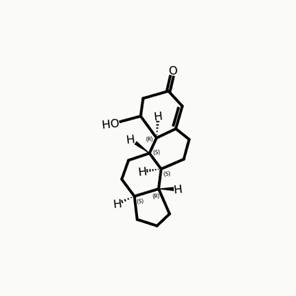 O=C1C=C2CC[C@H]3[C@@H]4CCC[C@H]4CC[C@@H]3[C@H]2C(O)C1